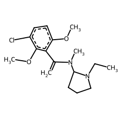 C=C(c1c(OC)ccc(Cl)c1OC)N(C)C1CCCN1CC